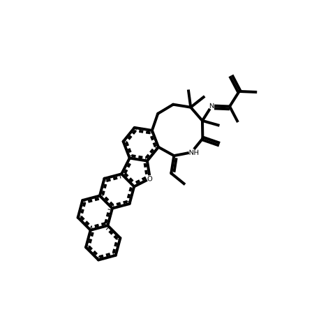 C=C(C)/C(C)=N/C1(C)C(=C)N/C(=C\C)c2c(ccc3c2oc2cc4c(ccc5ccccc54)cc23)CCC1(C)C